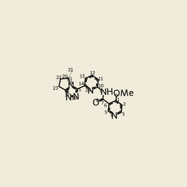 COc1ccncc1C(=O)Nc1cccc(-c2nnc3n2[C@@H](C)CC3)n1